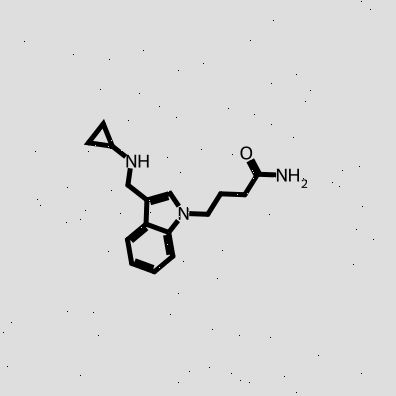 NC(=O)CCCn1cc(CNC2CC2)c2ccccc21